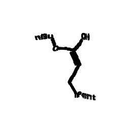 CCCCCCC=C(O)OCCCC